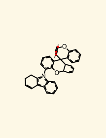 C1=CC2Oc3ccccc3C3(c4cccc(-n5c6c(c7ccccc75)C=CCC6)c4OC4C=CC=CC43)C2C=C1